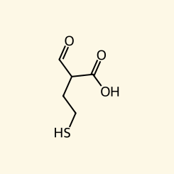 O=CC(CCS)C(=O)O